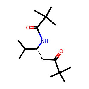 CC(C)[C@@H](CC(=O)C(C)(C)C)NC(=O)C(C)(C)C